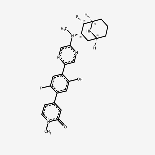 CN(c1cnc(-c2cc(F)c(-c3ccn(C)c(=O)c3)cc2O)cn1)[C@H]1C[C@@H]2CCC[C@@H](N2)[C@H]1F